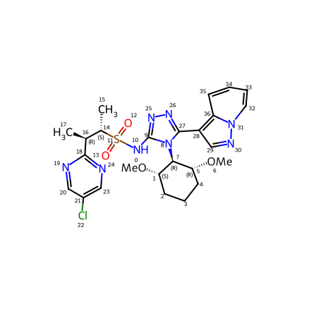 CO[C@H]1CCC[C@@H](OC)[C@@H]1n1c(NS(=O)(=O)[C@@H](C)[C@H](C)c2ncc(Cl)cn2)nnc1-c1cnn2ccccc12